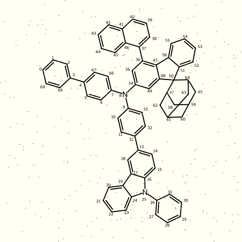 c1ccc(-c2ccc(N(c3ccc(-c4ccc5c(c4)c4ccccc4n5-c4ccccc4)cc3)c3cc(-c4cccc5ccccc45)c4c(c3)C3(c5ccccc5-4)C4CC5CC(C4)CC3C5)cc2)cc1